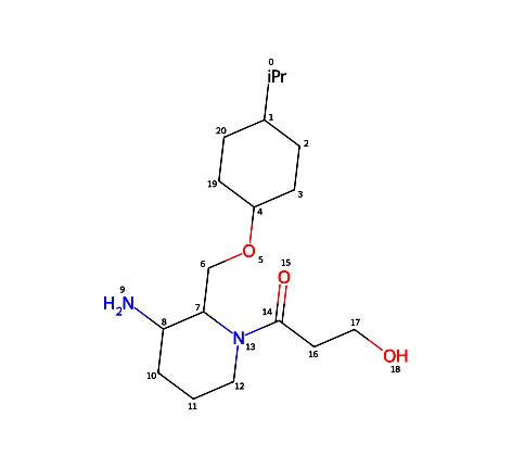 CC(C)C1CCC(OCC2C(N)CCCN2C(=O)CCO)CC1